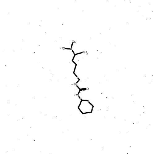 NC(CCCCNC(=O)NC1CCCCC1)B(O)O